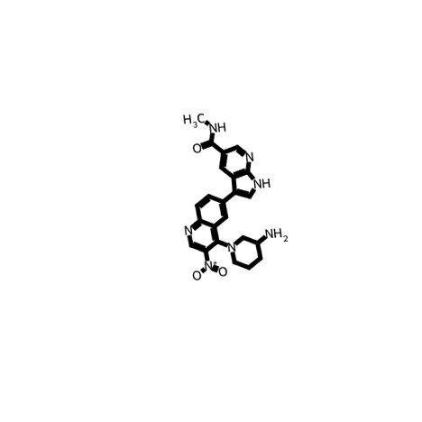 CNC(=O)c1cnc2[nH]cc(-c3ccc4ncc([N+](=O)[O-])c(N5CCCC(N)C5)c4c3)c2c1